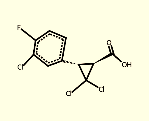 O=C(O)[C@@H]1[C@@H](c2ccc(F)c(Cl)c2)C1(Cl)Cl